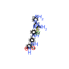 CC1(N)CCN(c2cnc(Sc3cccc(NCc4ccc(NC5CCC(=O)NC5=O)cc4)c3Cl)c(N)n2)CC1